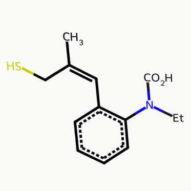 CCN(C(=O)O)c1ccccc1C=C(C)CS